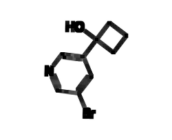 OC1(c2cncc(Br)c2)CCC1